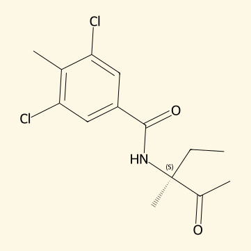 CC[C@](C)(NC(=O)c1cc(Cl)c(C)c(Cl)c1)C(C)=O